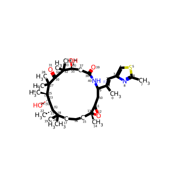 C/C(=C\c1csc(C)n1)C1CC2O[C@]2(C)CCCC(C)(C)[C@H](C)[C@H](O)[C@@H](C)C(C)(C)C(=O)C(C)(C)[C@@H](O)CC(=O)N1